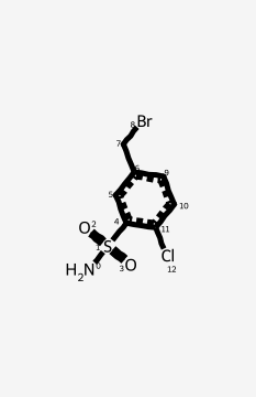 NS(=O)(=O)c1cc(CBr)ccc1Cl